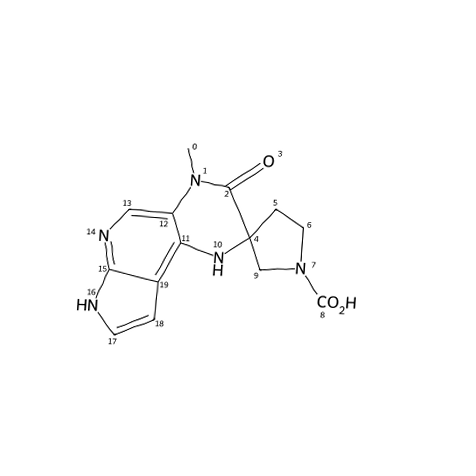 CN1C(=O)C2(CCN(C(=O)O)C2)Nc2c1cnc1[nH]ccc21